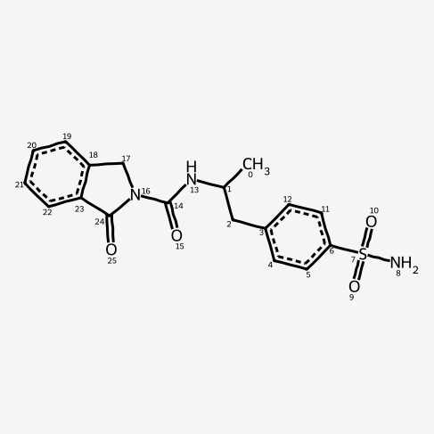 CC(Cc1ccc(S(N)(=O)=O)cc1)NC(=O)N1Cc2ccccc2C1=O